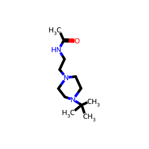 CC(=O)NCCN1CCN(C(C)(C)C)CC1